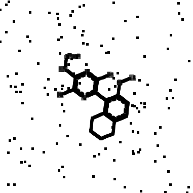 CCCCCNc1nc(CC)c(-c2c(OCC)ccc3c2CCCC3)nc1CC